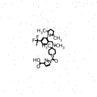 C[C@@H]1CC[C@@H](C)N1c1cc(C(F)(F)F)ccc1CN(C)C1(C)CCN(C(=O)n2ccc(C(=O)O)n2)CC1